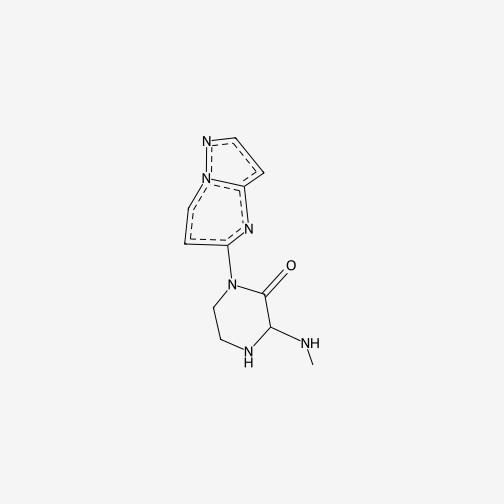 CNC1NCCN(c2ccn3nccc3n2)C1=O